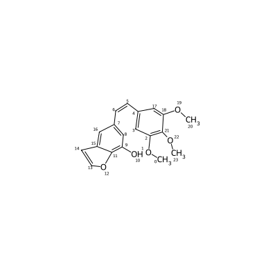 COc1cc(/C=C\c2cc(O)c3occc3c2)cc(OC)c1OC